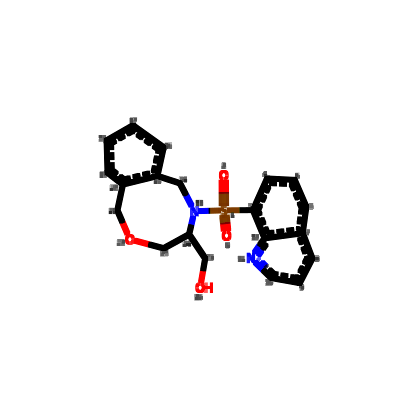 O=S(=O)(c1cccc2cccnc12)N1Cc2ccccc2COCC1CO